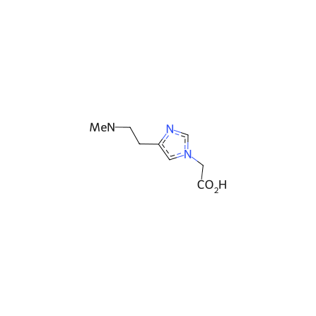 CNCCc1cn(CC(=O)O)cn1